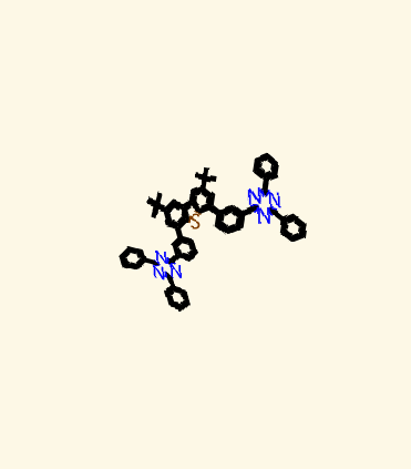 CC(C)(C)c1cc(-c2cccc(-c3nc(-c4ccccc4)nc(-c4ccccc4)n3)c2)c2sc3c(-c4cccc(-c5nc(-c6ccccc6)nc(-c6ccccc6)n5)c4)cc(C(C)(C)C)cc3c2c1